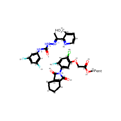 C/C(=N\NC(=O)Nc1cc(F)cc(F)c1)c1ncccc1C(=O)O.CCCCCOC(=O)COc1cc(N2C(=O)C3=C(CCCC3)C2=O)c(F)cc1Cl